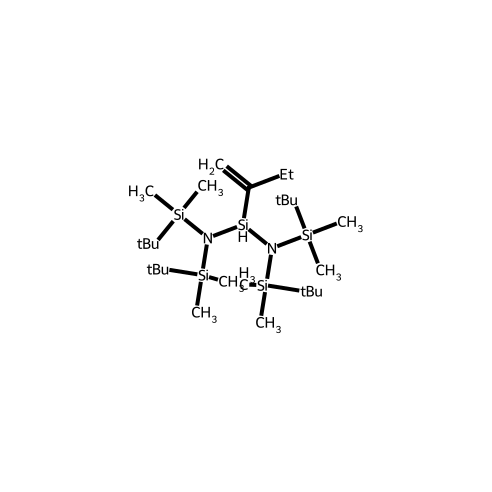 C=C(CC)[SiH](N([Si](C)(C)C(C)(C)C)[Si](C)(C)C(C)(C)C)N([Si](C)(C)C(C)(C)C)[Si](C)(C)C(C)(C)C